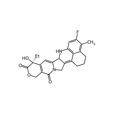 CC[C@@]1(O)C(=O)OCc2c1cc1n(c2=O)CC2=C3CCCc4c(C)c(F)cc(c43)NC21